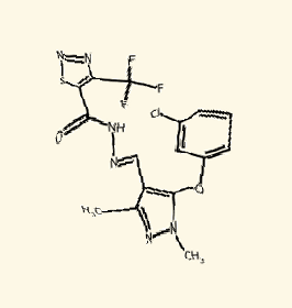 Cc1nn(C)c(Oc2cccc(Cl)c2)c1/C=N/NC(=O)c1snnc1C(F)(F)F